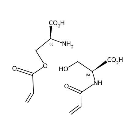 C=CC(=O)N[C@@H](CO)C(=O)O.C=CC(=O)OC[C@H](N)C(=O)O